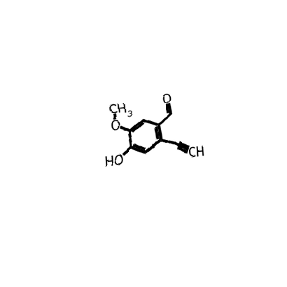 C#Cc1cc(O)c(OC)cc1C=O